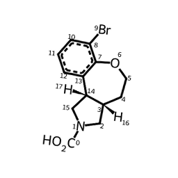 O=C(O)N1C[C@H]2CCOc3c(Br)cccc3[C@H]2C1